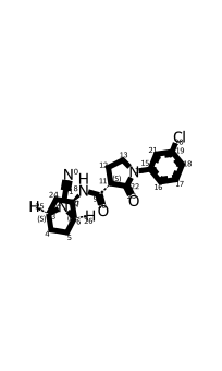 N#CN1[C@H]2CC[C@@H]1[C@H](NC(=O)[C@@H]1CCN(c3cccc(Cl)c3)C1=O)C2